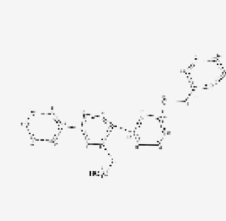 O=C(O)Cc1cc(-c2ccccc2)ccc1-c1cccc(OCc2ccccc2)c1